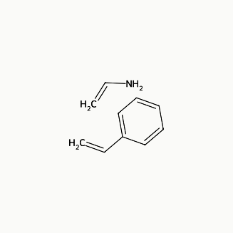 C=CN.C=Cc1ccccc1